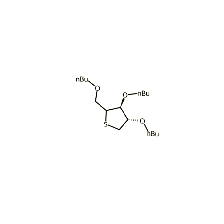 CCCCOCC1SC[C@@H](OCCCC)[C@@H]1OCCCC